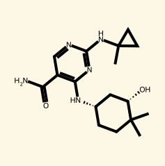 CC1(Nc2ncc(C(N)=O)c(N[C@H]3CCC(C)(C)[C@@H](O)C3)n2)CC1